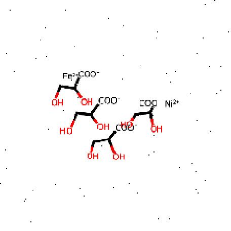 O=C([O-])C(O)CO.O=C([O-])C(O)CO.O=C([O-])C(O)CO.O=C([O-])C(O)CO.[Fe+2].[Ni+2]